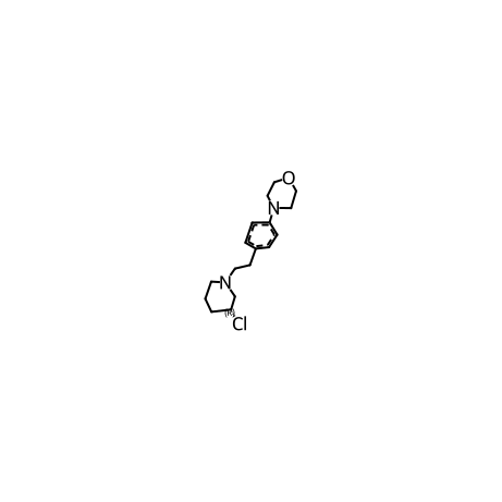 Cl[C@@H]1CCCN(CCc2ccc(N3CCOCC3)cc2)C1